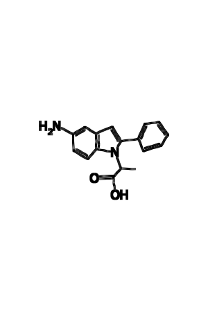 CC(C(=O)O)n1c(-c2ccccc2)cc2cc(N)ccc21